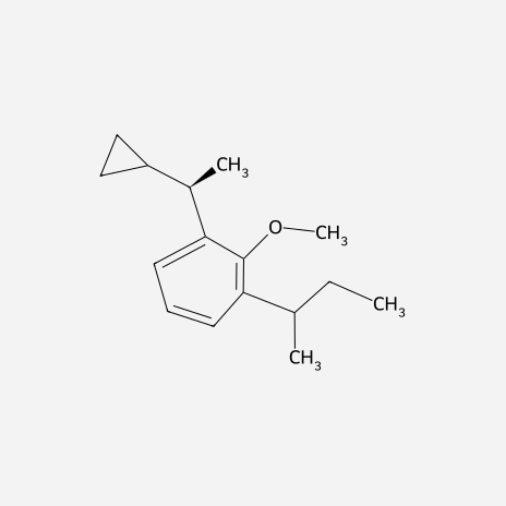 CCC(C)c1cccc([C@H](C)C2CC2)c1OC